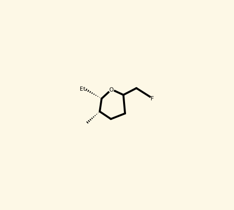 CC[C@@H]1OC(CF)CC[C@@H]1C